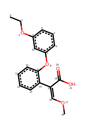 CCOc1cccc(Oc2ccccc2C(=COC)C(=O)O)c1